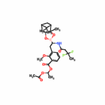 COc1c(CC(NC(=O)CC(C)(F)F)B2OC3CC4CC(C4(C)C)C3(C)O2)cccc1C(=O)OC(C)OC(C)=O